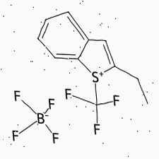 CCc1cc2ccccc2[s+]1C(F)(F)F.F[B-](F)(F)F